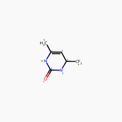 CC1=CC(C(F)(F)F)[N]C(=O)[N]1